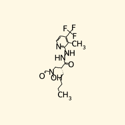 CCCCC[C@H](CN(O)C=O)C(=O)NNc1nccc(C(F)(F)F)c1C